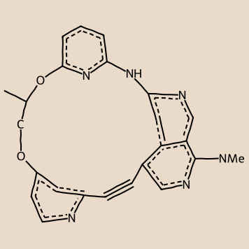 CNc1ncc2c3cc(ncc13)Nc1cccc(n1)OC(C)COc1ccnc(c1)C#C2